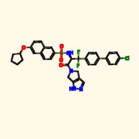 O=C([C@@H](NS(=O)(=O)c1ccc2cc(OC3CCCC3)ccc2c1)C(F)(F)c1ccc(-c2ccc(Cl)cc2)cc1)N1Cc2cn[nH]c2C1